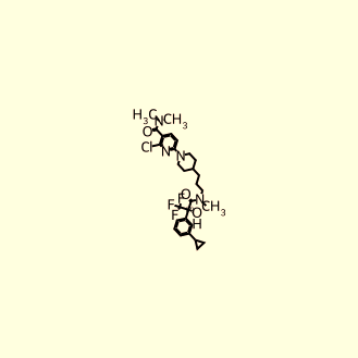 CN(C)C(=O)c1ccc(N2CCC(CCCN(C)C(=O)[C@](O)(c3cccc(C4CC4)c3)C(F)(F)F)CC2)nc1Cl